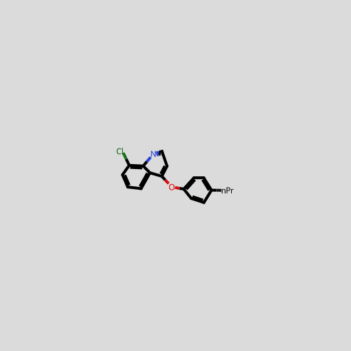 CCCc1ccc(Oc2ccnc3c(Cl)cccc23)cc1